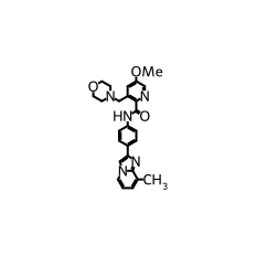 COc1cnc(C(=O)Nc2ccc(-c3cn4cccc(C)c4n3)cc2)c(CN2CCOCC2)c1